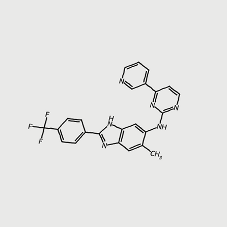 Cc1cc2nc(-c3ccc(C(F)(F)F)cc3)[nH]c2cc1Nc1nccc(-c2cccnc2)n1